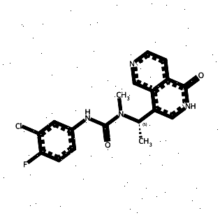 C[C@@H](c1c[nH]c(=O)c2ccncc12)N(C)C(=O)Nc1ccc(F)c(Cl)c1